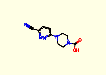 N#Cc1ccc(N2CCN(C(=O)O)CC2)nn1